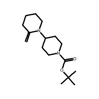 C=C1CCCCN1C1CCN(C(=O)OC(C)(C)C)CC1